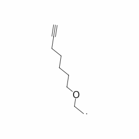 C#CCCCCCOC[CH2]